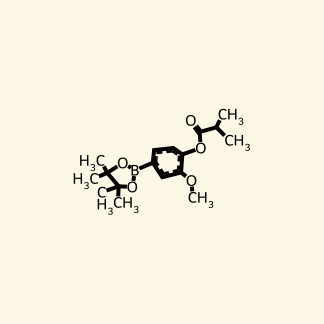 COc1cc(B2OC(C)(C)C(C)(C)O2)ccc1OC(=O)C(C)C